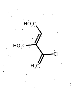 C=C(Cl)/C(=C/C(=O)O)C(=O)O